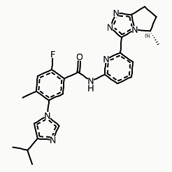 Cc1cc(F)c(C(=O)Nc2cccc(-c3nnc4n3[C@@H](C)CC4)n2)cc1-n1cnc(C(C)C)c1